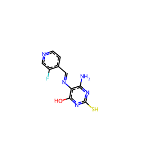 Nc1nc(S)nc(O)c1/N=C/c1ccncc1F